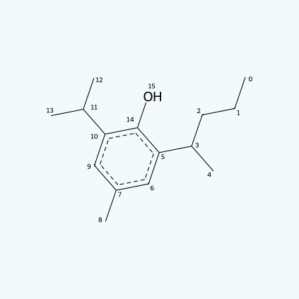 CCCC(C)c1cc(C)cc(C(C)C)c1O